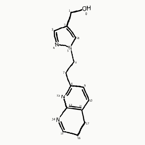 OCc1cnn(CCc2ccc3c(n2)N=CCC3)c1